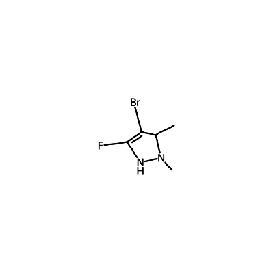 CC1C(Br)=C(F)NN1C